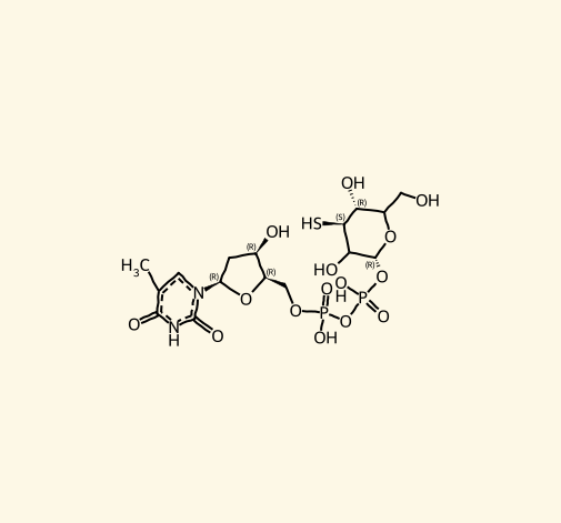 Cc1cn([C@H]2C[C@@H](O)[C@@H](COP(=O)(O)OP(=O)(O)O[C@H]3OC(CO)[C@@H](O)[C@H](S)C3O)O2)c(=O)[nH]c1=O